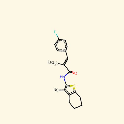 CCOC(=O)/C(=C\c1ccc(F)cc1)C(=O)Nc1sc2c(c1C#N)CCCC2